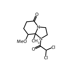 COC1CCC(=O)N2CCN(C(=O)C(Cl)Cl)C12C